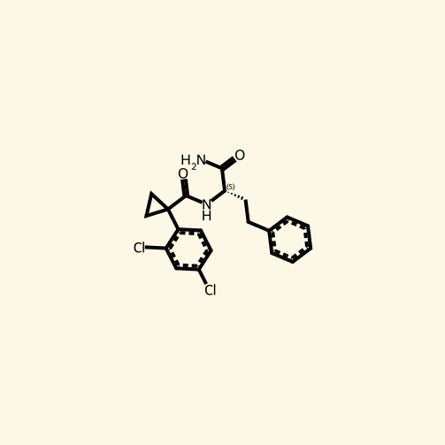 NC(=O)[C@H](CCc1ccccc1)NC(=O)C1(c2ccc(Cl)cc2Cl)CC1